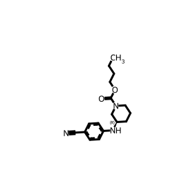 CCCCOC(=O)N1CCC[C@@H](Nc2ccc(C#N)cc2)C1